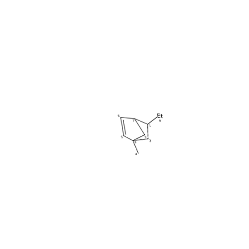 CCC1CC2(C)C=CC1C2